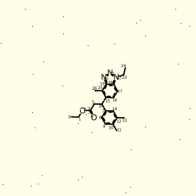 CCOC(=O)CC(c1ccc(C)c(C)c1)c1ccc2c(nnn2CC)c1C